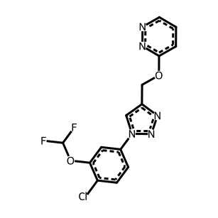 FC(F)Oc1cc(-n2cc(COc3cccnn3)nn2)ccc1Cl